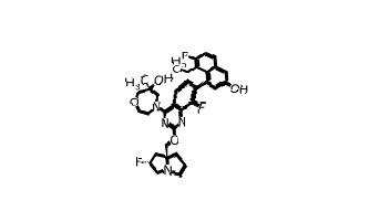 CCc1c(F)ccc2cc(O)cc(-c3ccc4c(N5CCOC[C@@](C)(O)C5)nc(OC[C@@]56CCCN5C[C@H](F)C6)nc4c3F)c12